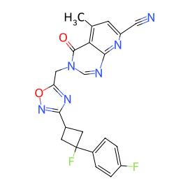 Cc1cc(C#N)nc2ncn(Cc3nc(C4CC(F)(c5ccc(F)cc5)C4)no3)c(=O)c12